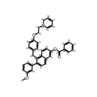 COc1cccc(-c2ccc3cc(OC(=O)c4ccccc4)ccc3c2Cc2ccc(OCCN3C=CC=CC3)cc2)c1